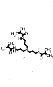 C=C(C)C(=O)NCCCN(CCCNC(=O)C(=C)C)CCCNC(=O)C(=C)C